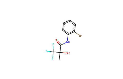 CC(O)(C(=O)Nc1ccccc1Br)C(F)(F)F